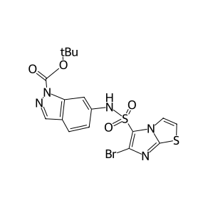 CC(C)(C)OC(=O)n1ncc2ccc(NS(=O)(=O)c3c(Br)nc4sccn34)cc21